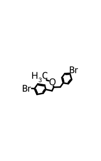 CCOC(Cc1ccc(Br)cc1)Cc1ccc(Br)cc1